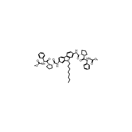 CCCCCCCCn1c2cc(NC(=O)[C@@H]3CCCN3C(=O)[C@H](NC(=O)OC)c3ccccc3)ccc2c2ccc(NC(=O)[C@@H]3CCCN3C(=O)[C@H](NC(=O)OC)c3ccccc3)cc21